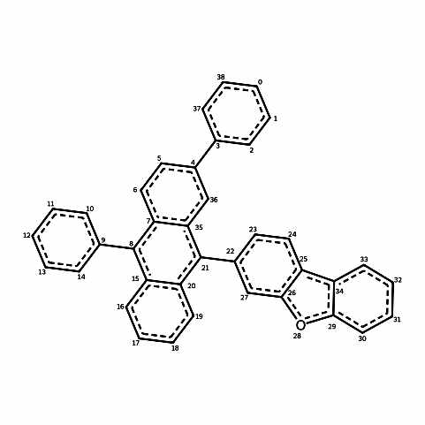 c1ccc(-c2ccc3c(-c4ccccc4)c4ccccc4c(-c4ccc5c(c4)oc4ccccc45)c3c2)cc1